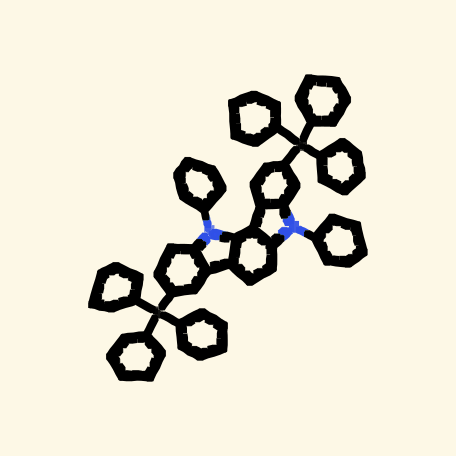 c1ccc(-n2c3cc([Si](c4ccccc4)(c4ccccc4)c4ccccc4)ccc3c3c2ccc2c4cc([Si](c5ccccc5)(c5ccccc5)c5ccccc5)ccc4n(-c4ccccc4)c23)cc1